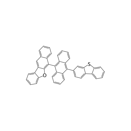 c1ccc2c(-c3c4ccccc4c(-c4ccc5c(c4)sc4ccccc45)c4ccccc34)c3oc4ccccc4c3cc2c1